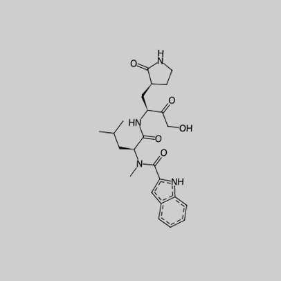 CC(C)C[C@@H](C(=O)N[C@@H](C[C@@H]1CCNC1=O)C(=O)CO)N(C)C(=O)c1cc2ccccc2[nH]1